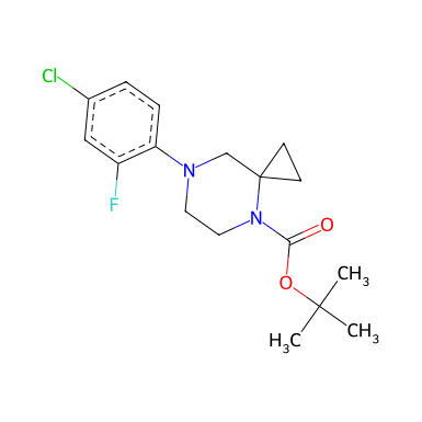 CC(C)(C)OC(=O)N1CCN(c2ccc(Cl)cc2F)CC12CC2